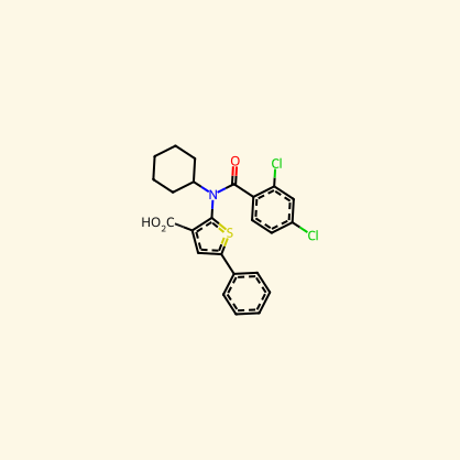 O=C(O)c1cc(-c2ccccc2)sc1N(C(=O)c1ccc(Cl)cc1Cl)C1CCCCC1